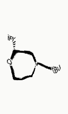 CC(C)[C@@H]1CN(C(C)(C)C)CCO1